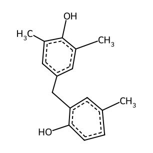 Cc1ccc(O)c(Cc2cc(C)c(O)c(C)c2)c1